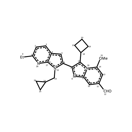 CCc1ccc2cc(-c3nc4cc(C=O)cc(OC)n4c3C3CCC3)n(CC3CC3)c2n1